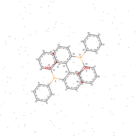 Oc1cccc(P(c2ccccc2)c2ccccc2)c1-c1c(O)cccc1P(c1ccccc1)c1ccccc1